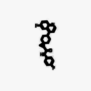 O=C(Nc1ccc(F)cc1)C1CC12CCC(c1ccnc3ccc(F)cc13)CC2